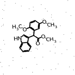 COC(=O)C(c1cc(OC)ccc1OC)c1c[nH]c2ccccc12